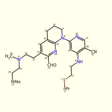 CCCSCCNc1cc(N2CCCc3cc(CCN(C)CCNC)c(C=O)nc32)ncc1C#N